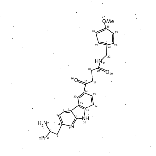 CCCC(N)Cc1ccc2c(n1)[nH]c1ccc(C(=O)CCC(=O)NCc3ccc(OC)cc3)cc12